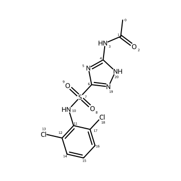 CC(=O)Nc1nc(S(=O)(=O)Nc2c(Cl)cccc2Cl)n[nH]1